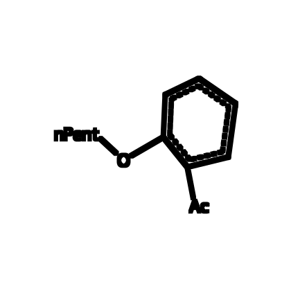 CCCCCOc1ccccc1C(C)=O